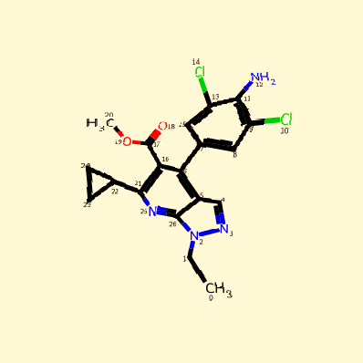 CCn1ncc2c(-c3cc(Cl)c(N)c(Cl)c3)c(C(=O)OC)c(C3CC3)nc21